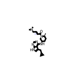 C[C@H]1CC[C@@H](Nc2ncnc3[nH]cc(CC4CC4)c23)CN1C(=O)/C=C/CN(C)C